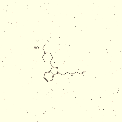 C=CCOCCn1cc(C2CCN([C](C)O)CC2)c2ccccc21